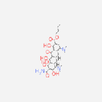 CCCCOC(=O)c1cc(N(C)C)c2c(c1O)C(=O)C1=C(O)C3(O)C(=O)C(C(N)=O)=C(O)[C@@H](N(C)C)[C@@H]3C[C@@H]1C2